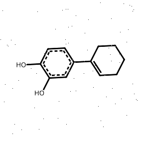 Oc1ccc(C2=CCCCC2)cc1O